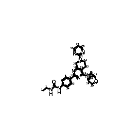 CCNC(=O)Nc1ccc(-c2nc3c(c(N4CC5CC4CO5)n2)CCN(c2ncccn2)C3)cc1